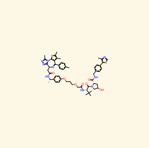 Cc1ccc(C2=NC(CC(=O)N[C@@H](C)c3ccc(OCCCOCC(=O)N[C@H](C(=O)N4CC(O)C[C@H]4C(=O)NCc4ccc(-c5scnc5C)cc4)C(C)(C)C)cc3)c3nnc(C)n3-c3sc(C)c(C)c32)cc1